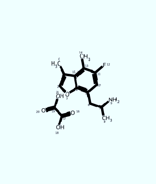 Cc1coc2c(CC(C)N)cc(F)c(C)c12.O=C(O)C(=O)O